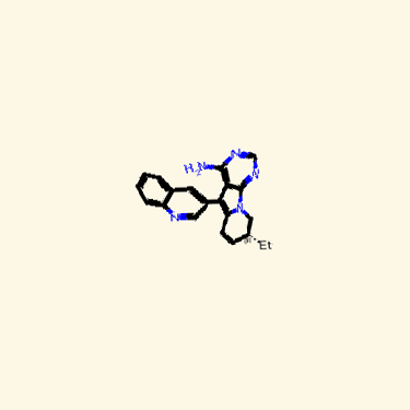 CC[C@@H]1CCc2c(-c3cnc4ccccc4c3)c3c(N)ncnc3n2C1